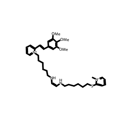 COc1cc(/C=C/c2cccc[n+]2CCCCCCN/C=C\NCCCCCCSc2cccc[n+]2C)cc(OC)c1OC